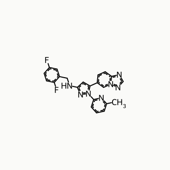 Cc1cccc(-n2nc(NCc3cc(F)ccc3F)cc2-c2ccc3ncnn3c2)n1